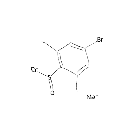 Cc1cc(Br)cc(C)c1S(=O)[O-].[Na+]